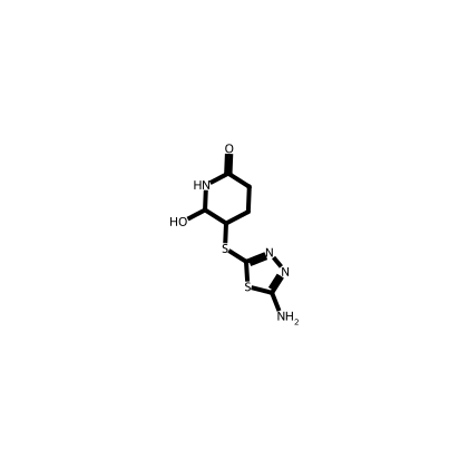 Nc1nnc(SC2CCC(=O)NC2O)s1